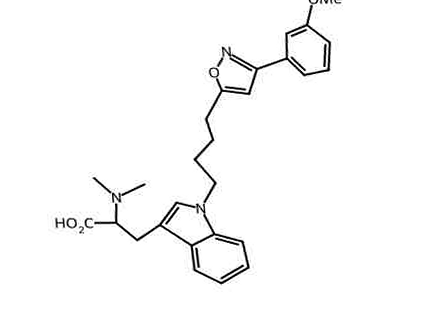 COc1cccc(-c2cc(CCCCn3cc(CC(C(=O)O)N(C)C)c4ccccc43)on2)c1